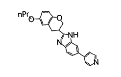 CCCOc1ccc2c(c1)CC(c1nc3ccc(-c4ccncc4)cc3[nH]1)CO2